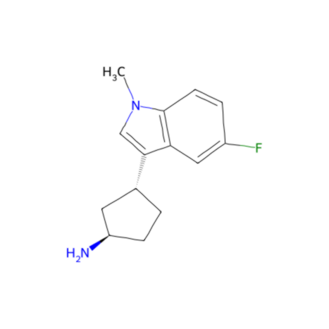 Cn1cc([C@@H]2CC[C@@H](N)C2)c2cc(F)ccc21